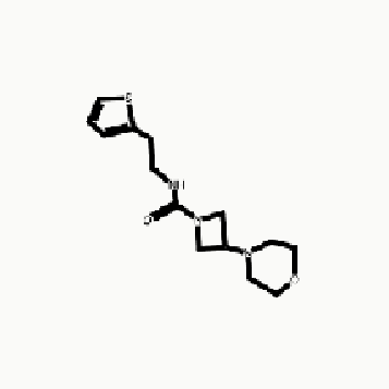 O=C(NCCc1cccs1)N1CC(N2CCOCC2)C1